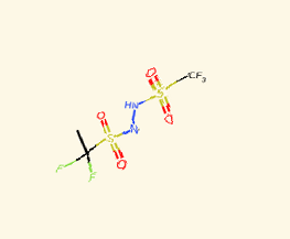 CC(F)(F)S(=O)(=O)[N]NS(=O)(=O)C(F)(F)F